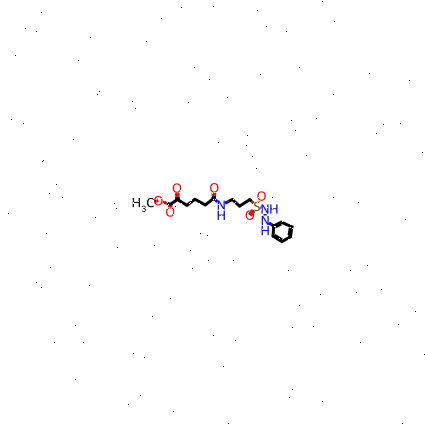 COC(=O)C(=O)CCCC(=O)NCCCS(=O)(=O)NNc1ccccc1